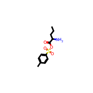 CCCC(N)C(=O)OS(=O)(=O)c1ccc(C)cc1